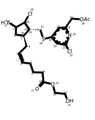 BC1C[C@H](C/C=C\CCCC(=O)OCCO)[C@@H](CSc2cc(Cl)nc(COC(C)=O)c2)C1Cl